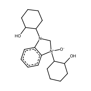 [O-][N+]1(C2CCCCC2O)CN(C2CCCCC2O)c2ccccc21